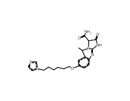 CC1c2cc(OCCCCCCn3ccnc3)ccc2N=C2NC(=O)C(C(N)=O)N21